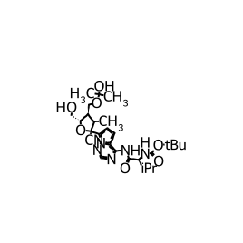 CC(C)[C@H](NC(=O)OC(C)(C)C)C(=O)Nc1ncnn2c([C@]3(C#N)O[C@H](CO)[C@@H](COC(C)(C)O)[C@H]3C)ccc12